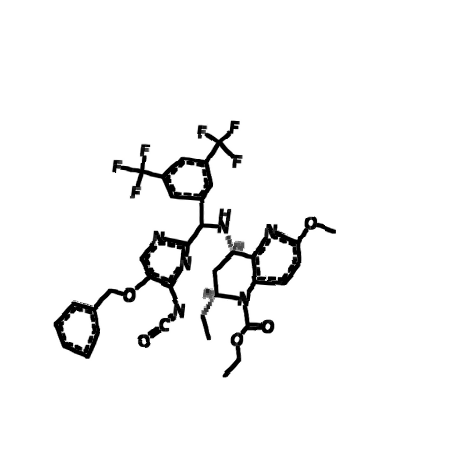 CCOC(=O)N1c2ccc(OC)nc2[C@@H](NC(c2cc(C(F)(F)F)cc(C(F)(F)F)c2)c2ncc(OCc3ccccc3)c(N=C=O)n2)C[C@H]1CC